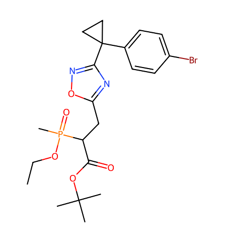 CCOP(C)(=O)C(Cc1nc(C2(c3ccc(Br)cc3)CC2)no1)C(=O)OC(C)(C)C